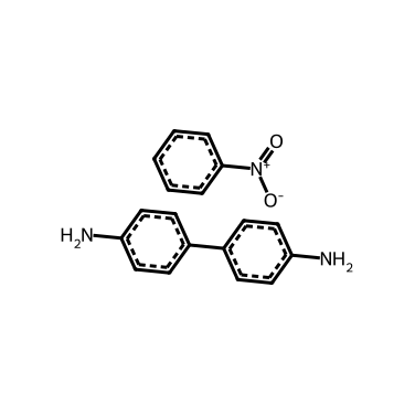 Nc1ccc(-c2ccc(N)cc2)cc1.O=[N+]([O-])c1ccccc1